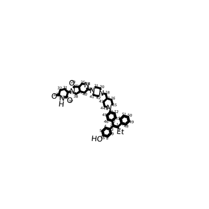 CC/C(=C(\c1ccc(O)cc1)c1ccc(N2CCC(CN3CCN(C4=NCC5C(=O)N(C6CCC(=O)NC6=O)CC5C4)CC3)CC2)cc1)c1ccccc1